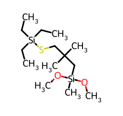 CC[Si](CC)(CC)SCC(C)(C)C[Si](C)(OC)OC